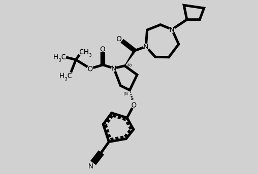 CC(C)(C)OC(=O)N1C[C@@H](Oc2ccc(C#N)cc2)C[C@@H]1C(=O)N1CCCN(C2CCC2)CC1